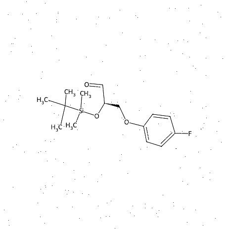 CC(C)(C)[Si](C)(C)O[C@@H](C=O)COc1ccc(F)cc1